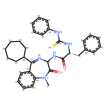 CN1C(=O)C(NC(=O)[C@@H](Cc2ccccc2)NC(=S)Nc2ccccc2)N=C(C2CCCCCC2)c2ccccc21